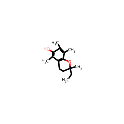 CCC1(C)CCc2c(C)c(O)c(C)c(C)c2O1